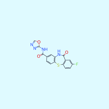 O=C(Nc1nnco1)c1ccc2c(c1)NC(=O)c1cc(F)ccc1S2